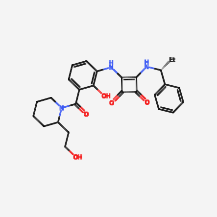 CC[C@@H](Nc1c(Nc2cccc(C(=O)N3CCCCC3CCO)c2O)c(=O)c1=O)c1ccccc1